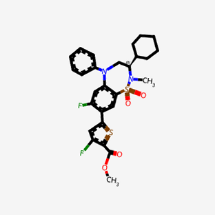 COC(=O)c1sc(-c2cc3c(cc2F)N(c2ccccc2)C[C@@H](C2CCCCC2)N(C)S3(=O)=O)cc1F